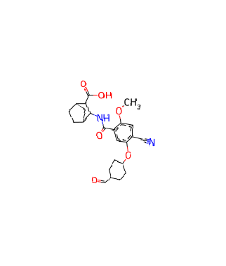 COc1cc(C#N)c(OC2CCC(C=O)CC2)cc1C(=O)NC1C2CCC(C2)C1C(=O)O